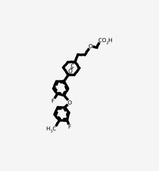 Cc1ccc(Oc2cc(C34CCC(CCOCC(=O)O)(CC3)CO4)ccc2F)cc1F